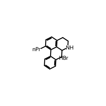 Br.CCCc1ccc2c3c1-c1ccccc1CC3NCC2